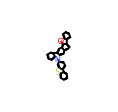 c1ccc2c(c1)oc1c3cc4c5ccccc5n(-c5ccc6c(c5)sc5ccccc56)c4cc3ccc21